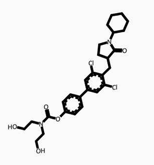 O=C(Oc1ccc(-c2cc(Cl)c(CC3CCN(C4CCCCC4)C3=O)c(Cl)c2)cc1)N(CCO)CCO